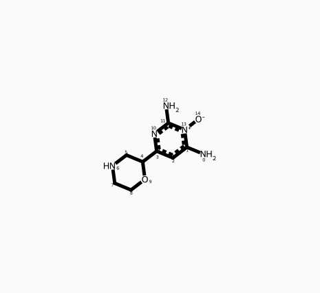 Nc1cc(C2CNCCO2)nc(N)[n+]1[O-]